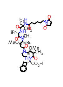 CC[C@H](C)[C@@H]([C@@H](CC(=O)N1CCC[C@H]1[C@H](OC)[C@@H](C)C(=O)NC(C(=O)O)[C@H]1Cc2ccccc21)OC)N(C)C(=O)[C@@H](NC(=O)C(C)(C)NC(=O)CCCCCN1C(=O)C=CC1=O)C(C)C